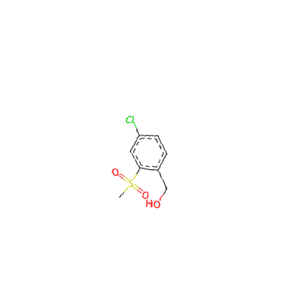 CS(=O)(=O)c1cc(Cl)ccc1CO